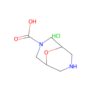 Cl.O=C(O)N1CC2CNCC(C1)O2